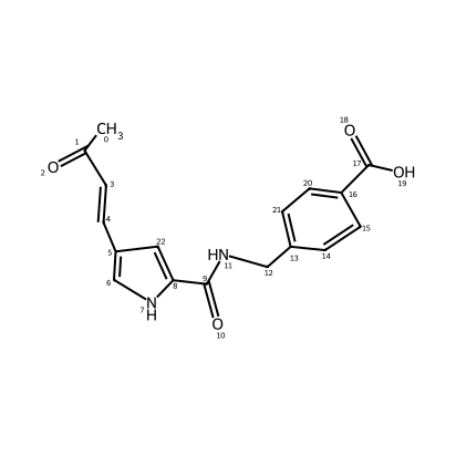 CC(=O)C=Cc1c[nH]c(C(=O)NCc2ccc(C(=O)O)cc2)c1